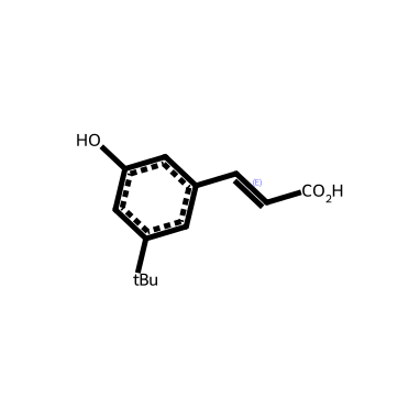 CC(C)(C)c1cc(O)cc(/C=C/C(=O)O)c1